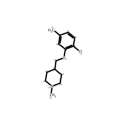 Cc1ccc(Cl)c(OCC2CCN(C)CC2)c1